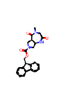 CN1CC(=O)NC2CN(C(=O)OCC3c4ccccc4-c4ccccc43)CC2C1=O